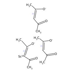 CC(=O)/C=C(/C)[O-].CC(=O)/C=C(/C)[O-].CC(=O)/C=C(/C)[O-].[Sc+3]